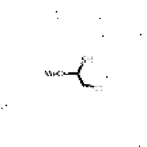 CCCC(S)OC